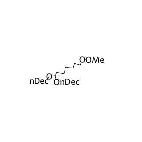 CCCCCCCCCCOC(CCCCCCOOC)OCCCCCCCCCC